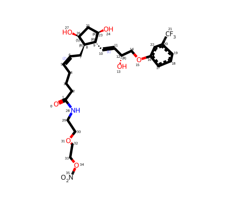 O=C(CCC/C=C\C[C@@H]1[C@@H](/C=C/[C@@H](O)COc2cccc(C(F)(F)F)c2)[C@H](O)C[C@@H]1O)NCCOCCO[N+](=O)[O-]